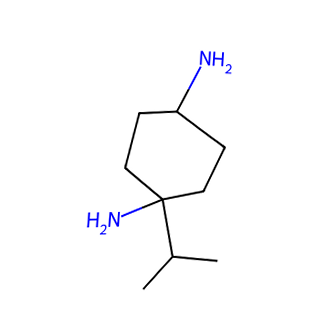 CC(C)C1(N)CCC(N)CC1